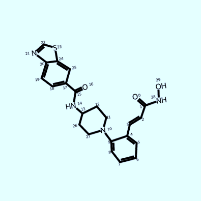 O=C(C=Cc1ccccc1N1CCC(NC(=O)c2ccc3ncsc3c2)CC1)NO